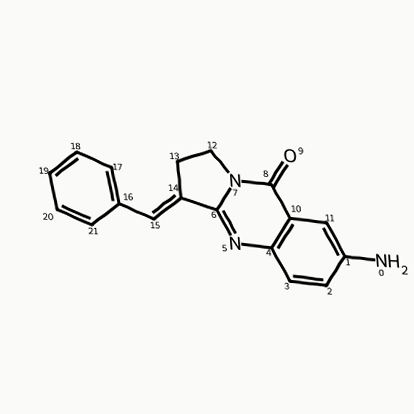 Nc1ccc2nc3n(c(=O)c2c1)CCC3=Cc1ccccc1